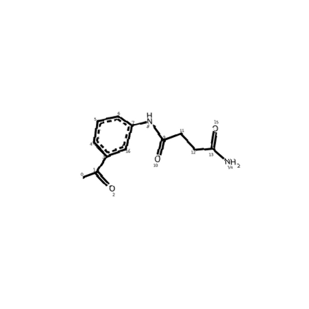 CC(=O)c1cccc(NC(=O)CCC(N)=O)c1